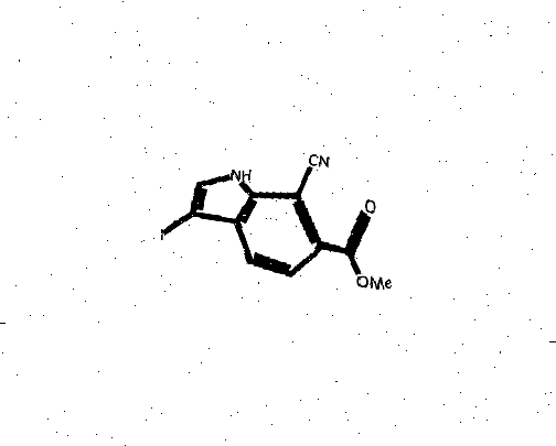 COC(=O)c1ccc2c(I)c[nH]c2c1C#N